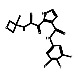 CC1(NC(=O)C(=O)c2[nH]ccc2C(=O)Nc2cc(F)c(F)c(F)c2)COC1